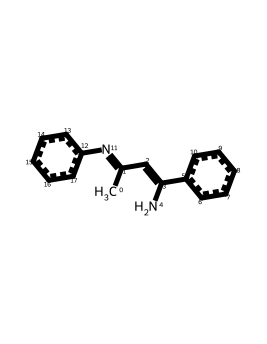 CC(/C=C(\N)c1ccccc1)=N\c1ccccc1